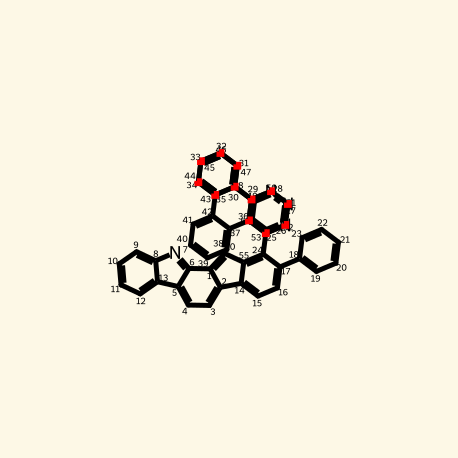 C1=c2c(ccc3c2=Nc2ccccc2-3)-c2ccc(-c3ccccc3)c(-c3nnnc(-c4ccccc4)c3-c3ccccc3-c3ccccc3-c3ccccc3)c21